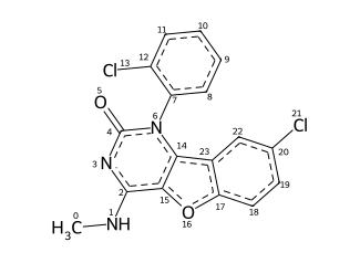 CNc1nc(=O)n(-c2ccccc2Cl)c2c1oc1ccc(Cl)cc12